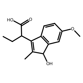 CCC(C(=O)O)C1=C(C)C(O)c2cc(OC)ccc21